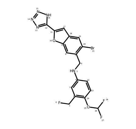 FCc1cc(NCc2cc3oc(-c4nnn[nH]4)cc3cc2Br)ccc1OC(F)F